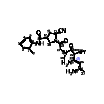 Cc1ccccc1NC(=O)C1CC(C#N)N(C(=O)CN(C)C(=O)C(/C(N)=C/N(C)N)C(C)C)C1